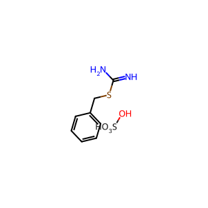 N=C(N)SCc1ccccc1.O=S(=O)(O)O